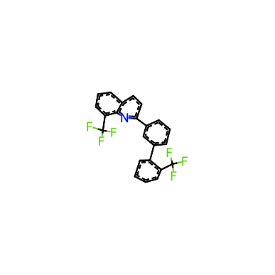 FC(F)(F)c1ccccc1-c1cccc(-c2ccc3cccc(C(F)(F)F)c3n2)c1